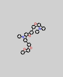 c1ccc(-n2c3ccc(-c4ccc5oc6ccc7c8ccccc8oc7c6c5c4)cc3c3c4oc5ccc(-c6ccc7oc8ccc9c%10ccccc%10n(-c%10ccccc%10)c9c8c7c6)cc5c4ccc32)cc1